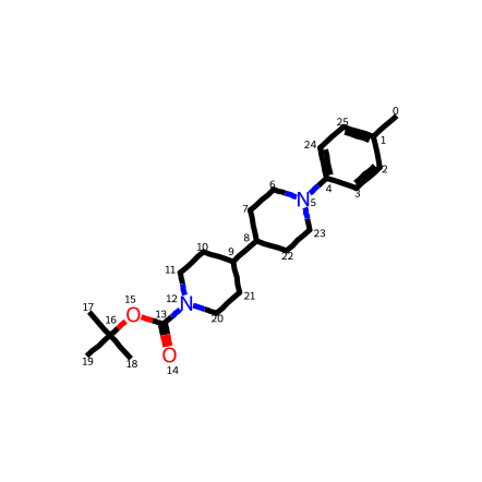 Cc1ccc(N2CCC(C3CCN(C(=O)OC(C)(C)C)CC3)CC2)cc1